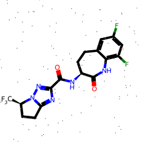 O=C(N[C@H]1CCc2cc(F)cc(F)c2NC1=O)c1nc2n(n1)[C@H](C(F)(F)F)CC2